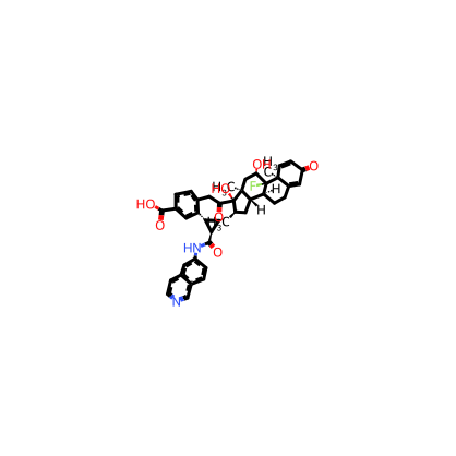 C[C@@H]1C[C@H]2[C@@H]3CCC4=CC(=O)C=C[C@]4(C)[C@@]3(F)[C@@H](O)C[C@]2(C)[C@@]1(O)C(=O)Cc1ccc(C(=O)O)cc1[C@@H]1C[C@H]1C(=O)Nc1ccc2cnccc2c1